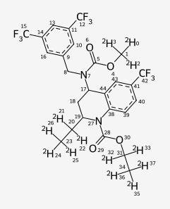 [2H]C([2H])([2H])OC(=O)N(Cc1cc(C(F)(F)F)cc(C(F)(F)F)c1)C1CC(C([2H])([2H])C([2H])([2H])[2H])N(C(=O)OC([2H])([2H])C([2H])([2H])[2H])c2ccc(C(F)(F)F)cc21